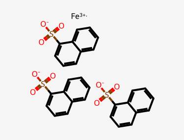 O=S(=O)([O-])c1cccc2ccccc12.O=S(=O)([O-])c1cccc2ccccc12.O=S(=O)([O-])c1cccc2ccccc12.[Fe+3]